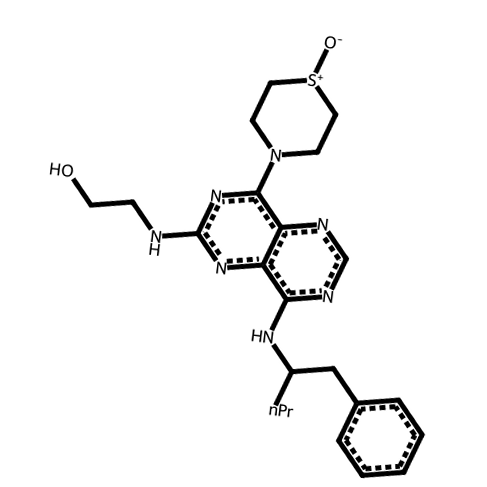 CCCC(Cc1ccccc1)Nc1ncnc2c(N3CC[S+]([O-])CC3)nc(NCCO)nc12